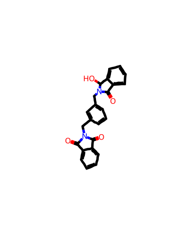 O=C1c2ccccc2C(=O)N1Cc1cccc(CN2C(=O)c3ccccc3C2O)c1